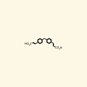 O=C(O)C=Cc1ccc(Cc2ccc(C=CC(=O)O)cc2)cc1